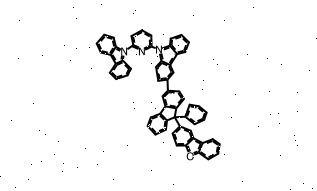 c1ccc(C2(c3ccc4oc5ccccc5c4c3)c3ccccc3-c3cc(-c4ccc5c(c4)c4ccccc4n5-c4cccc(-n5c6ccccc6c6ccccc65)n4)ccc32)cc1